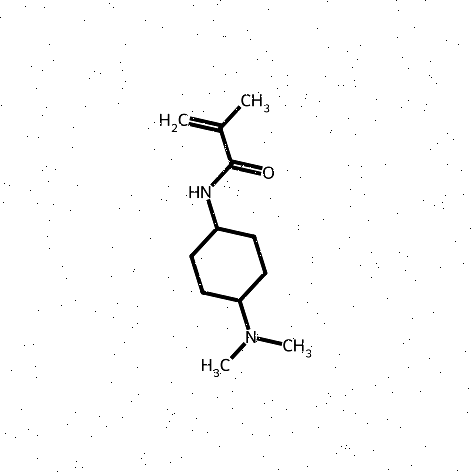 C=C(C)C(=O)NC1CCC(N(C)C)CC1